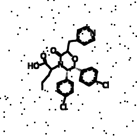 CCCC(C(=O)O)N1C(=O)C(Cc2ccncc2)O[C@H](c2ccc(Cl)cc2)[C@@H]1c1ccc(Cl)cc1